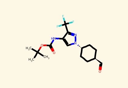 CC(C)(C)OC(=O)Nc1cn([C@H]2CC[C@H](C=O)CC2)nc1C(F)(F)F